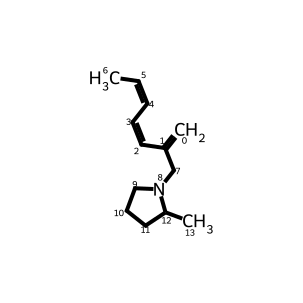 C=C(/C=C\C=C/C)CN1CCCC1C